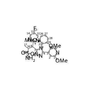 COc1cc(-c2nnc(C(c3ncc(F)cn3)C(C)S(N)(=O)=O)n2-c2c(OC)cccc2OC)ccn1